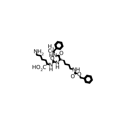 C[C@@H](NC(=O)[C@@H](CCCCNC(=O)OCc1ccccc1)NC(=O)N[C@@H](CCCCN)C(=O)O)c1ccccc1